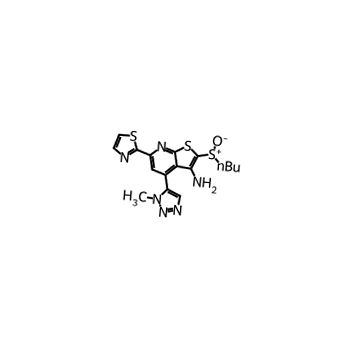 CCCC[S+]([O-])c1sc2nc(-c3nccs3)cc(-c3cnnn3C)c2c1N